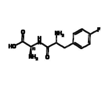 NC(Cc1ccc(F)cc1)C(=O)N[C@@H](N)C(=O)O